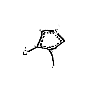 Cc1cs[c]c1Cl